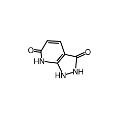 O=c1ccc2c(=O)[nH][nH]c2[nH]1